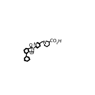 O=C(Nc1ccc(CN2CCCC(C(=O)O)C2)cn1)c1cccc(-c2ccccc2)c1Cl